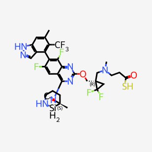 Cc1cc2[nH]ncc2c(-c2c(F)cc3c(N4CC5CC[C@@](C)(C4)[SiH2]N5)nc(OC[C@]4(CN(C)CCC(=O)S)CC4(F)F)nc3c2F)c1C(F)(F)F